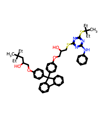 CCC(C)(CC)CC(O)COc1ccc(C2(c3ccc(OCC(O)CSc4nc(Nc5ccccc5)nc(SC(C)(CC)CC)n4)cc3)c3ccccc3-c3ccccc32)cc1